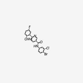 COc1ccc(F)cc1-c1ccc(C(=O)Nc2ccc(Br)c(Cl)c2)cn1